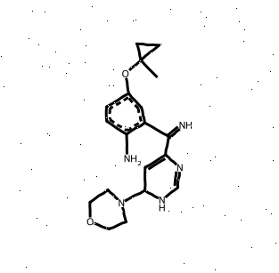 CC1(Oc2ccc(N)c(C(=N)C3=CC(N4CCOCC4)NC=N3)c2)CC1